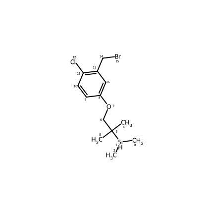 C[SiH](C)C(C)(C)COc1ccc(Cl)c(CBr)c1